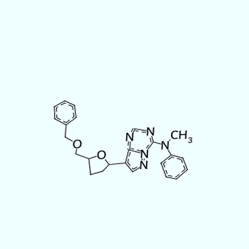 CN(c1ccccc1)c1ncnc2c(C3CCC(COCc4ccccc4)O3)cnn12